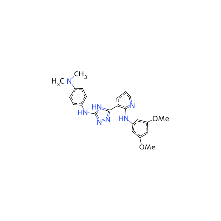 COc1cc(Nc2ncccc2-c2nnc(Nc3ccc(N(C)C)cc3)[nH]2)cc(OC)c1